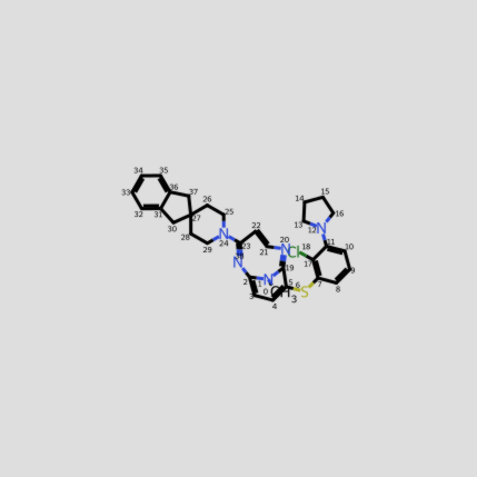 CN1C2=CC=C(Sc3cccc(N4CCCC4)c3Cl)/C1=N/C=C/C(N1CCC3(CC1)Cc1ccccc1C3)=N\2